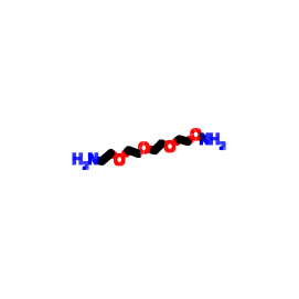 NCCOCCOCCOCCON